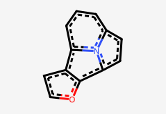 c1cc2ccc3c4occc4c(c1)n23